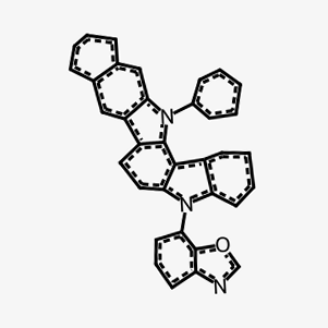 c1ccc(-n2c3cc4ccccc4cc3c3ccc4c(c5ccccc5n4-c4cccc5ncoc45)c32)cc1